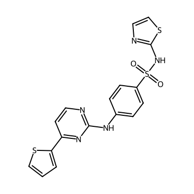 O=S(=O)(Nc1nccs1)c1ccc(Nc2nccc(-c3cccs3)n2)cc1